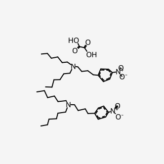 CCCCCCN(CCCCCC)CCCCc1ccc([N+](=O)[O-])cc1.CCCCCCN(CCCCCC)CCCCc1ccc([N+](=O)[O-])cc1.O=C(O)C(=O)O